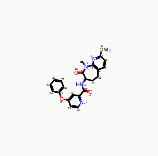 COc1ccc2c(n1)N(C)C(=O)C(NC(=O)c1cc(Oc3ccccc3)ccn1)CC2